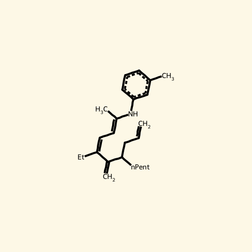 C=CCC(CCCCC)C(=C)/C(=C\C=C(/C)Nc1cccc(C)c1)CC